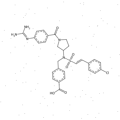 NC(N)=Nc1ccc(C(=O)N2CCC(N(Cc3ccc(C(=O)O)cc3)S(=O)(=O)C=Cc3ccc(Cl)cc3)C2)cc1